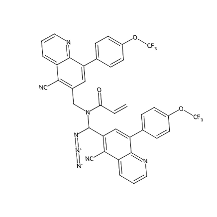 C=CC(=O)N(Cc1cc(-c2ccc(OC(F)(F)F)cc2)c2ncccc2c1C#N)C(N=[N+]=[N-])c1cc(-c2ccc(OC(F)(F)F)cc2)c2ncccc2c1C#N